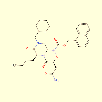 CCCC[C@H]1C(=O)N(CC2CCCCC2)CC2N(C(=O)OCc3cccc4ccccc34)O[C@@H](CC(N)=O)C(=O)N21